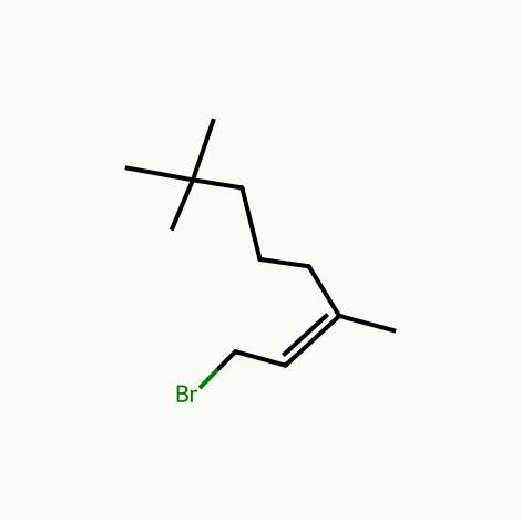 CC(=CCBr)CCCC(C)(C)C